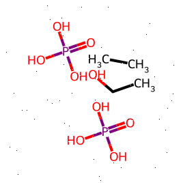 CC.CCO.O=P(O)(O)O.O=P(O)(O)O